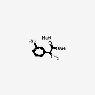 C=C(C(=O)OC)c1cccc(O)c1.[NaH]